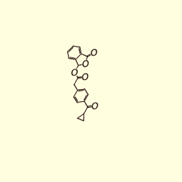 O=C(Cc1ccc(C(=O)C2CC2)cc1)OC1OC(=O)c2ccccc21